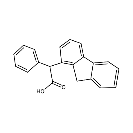 O=C(O)C(c1ccccc1)c1cccc2c1Cc1ccccc1-2